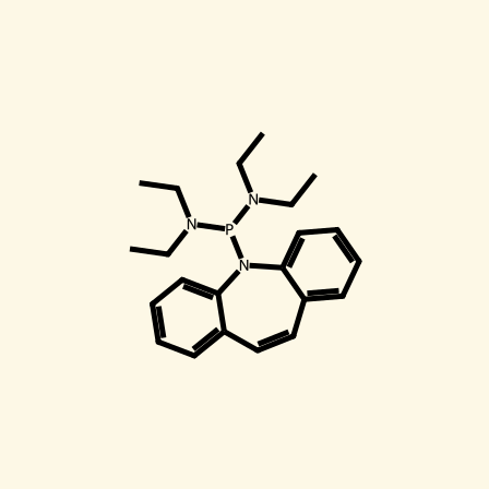 CCN(CC)P(N(CC)CC)N1c2ccccc2C=Cc2ccccc21